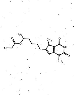 CC(CCCCc1nc2c(c(=O)[nH]c(=O)n2C)n1C)OC(=O)CCl